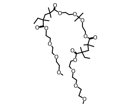 CCC(C)(CC(C)(C)C(=O)OCCOC(C)(C)OCCOC(=O)C(C)(C)CC(C)(CC)C(=O)OCCOCCOCCOC)C(=O)OCCOCCOCCOC